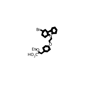 CCO[C@@H](Cc1ccc(OCCn2c3ccccc3c3cc(Br)ccc32)cc1)C(=O)O